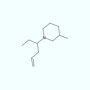 C=CCC(CC)N1CCCC(C)C1